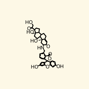 C[C@]12CC(NCc3cccc4c3C(=O)OC43c4ccc(O)cc4Oc4cc(O)ccc43)C(=O)C=C1CCC1C2[C@@H](O)C[C@@]2(C)C1CC[C@]2(O)C(=O)CO